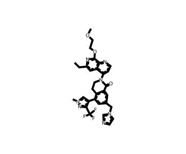 CCc1cc2c(N3CCc4c(cc(Cn5ccnc5)cc4-c4cn(C)nc4C(F)(F)F)C3=O)ccnc2c(OCCOC)n1